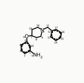 Nc1cccc(OC2CCN(Cc3ccccc3)CC2)c1